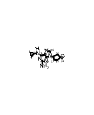 Nc1nc(NC2CC2)c2ncn([C@H]3C=C[C@@]4(CO4)C3)c2n1